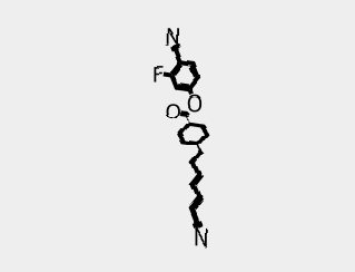 N#CC=CC=CCC[C@H]1CC[C@H](C(=O)Oc2ccc(C#N)c(F)c2)CC1